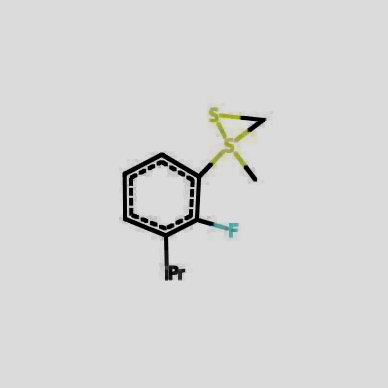 CC(C)c1cccc(S2(C)CS2)c1F